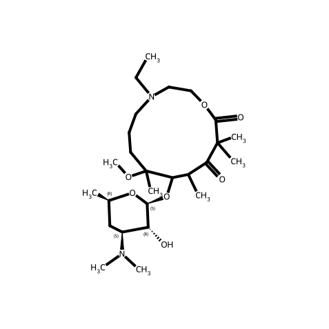 CCN1CCCC(C)(OC)C(O[C@@H]2O[C@H](C)C[C@H](N(C)C)[C@H]2O)C(C)C(=O)C(C)(C)C(=O)OCC1